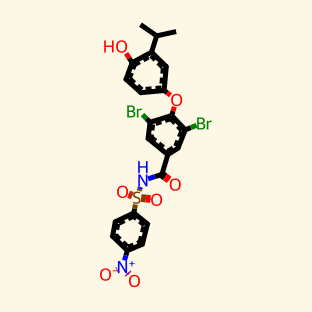 CC(C)c1cc(Oc2c(Br)cc(C(=O)NS(=O)(=O)c3ccc([N+](=O)[O-])cc3)cc2Br)ccc1O